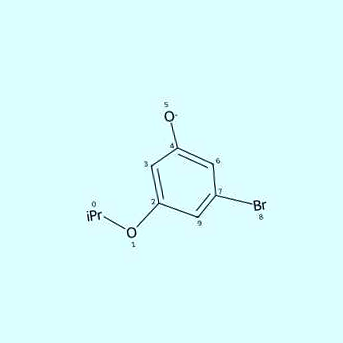 CC(C)Oc1cc([O])cc(Br)c1